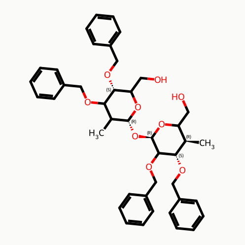 CC1C(OCc2ccccc2)[C@H](OCc2ccccc2)C(CO)O[C@@H]1O[C@H]1OC(CO)[C@@H](C)[C@H](OCc2ccccc2)C1OCc1ccccc1